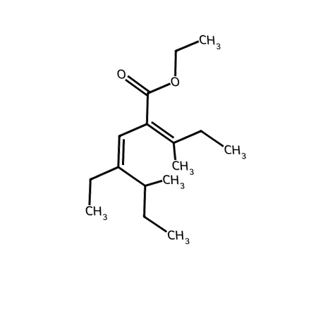 CCOC(=O)C(/C=C(/CC)C(C)CC)=C(/C)CC